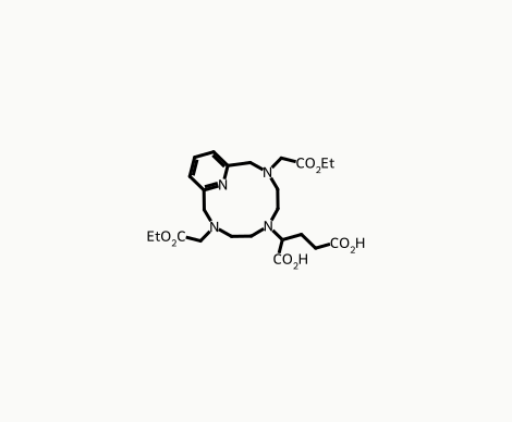 CCOC(=O)CN1CCN(C(CCC(=O)O)C(=O)O)CCN(CC(=O)OCC)Cc2cccc(n2)C1